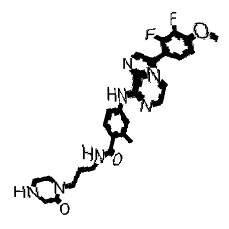 COc1ccc(-c2cnc3c(Nc4ccc(C(=O)NCCCN5CCNCC5=O)c(C)c4)nccn23)c(F)c1F